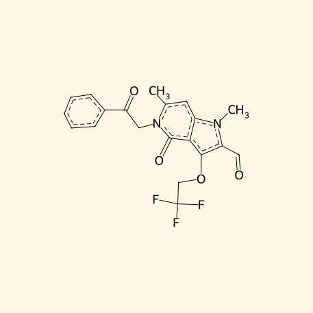 Cc1cc2c(c(OCC(F)(F)F)c(C=O)n2C)c(=O)n1CC(=O)c1ccccc1